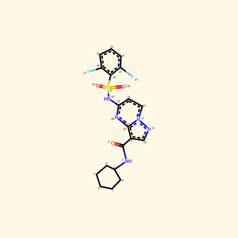 O=C(NC1CCCCC1)c1cnn2ccc(NS(=O)(=O)c3c(F)cccc3F)nc12